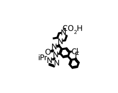 CC1CN(C(=O)O)CCN1c1nc(=O)n(-c2nccn2C(C)C)c2cc(-c3ccccc3F)c(Cl)cc12